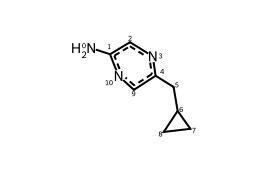 Nc1cnc(CC2CC2)cn1